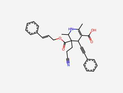 CC1=C(C(=O)O)C(C#Cc2ccccc2)C(CCC#N)(C(=O)OCC=Cc2ccccc2)C(C)N1